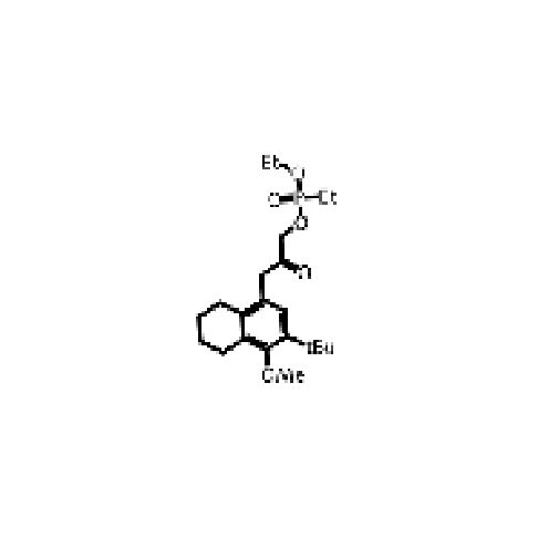 CCOP(=O)(CC)OCC(=O)Cc1cc(C(C)(C)C)c(OC)c2c1CCCC2